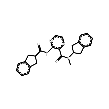 CN(C(=O)c1nccnc1NC(=O)C1Cc2ccccc2C1)C1Cc2ccccc2C1